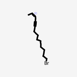 C/C=C\C#CCCCCCCCCBr